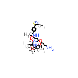 Cc1ncsc1-c1ccc(C(C)NC(=O)C2CC(OC(=O)CCCN)CN2C(=O)C(NC(=O)C(C)(C)C)C(C)(C)C)cc1